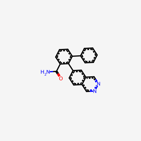 NC(=O)c1cccc(-c2ccccc2)c1-c1ccc2cnncc2c1